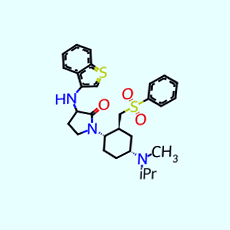 CC(C)N(C)[C@@H]1CC[C@H](N2CCC(Nc3csc4ccccc34)C2=O)[C@@H](CS(=O)(=O)c2ccccc2)C1